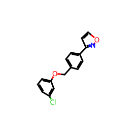 Clc1cccc(OCc2ccc(-c3ccon3)cc2)c1